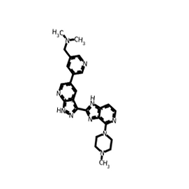 CN(C)Cc1cncc(-c2cnc3[nH]nc(-c4nc5c(N6CCN(C)CC6)nccc5[nH]4)c3c2)c1